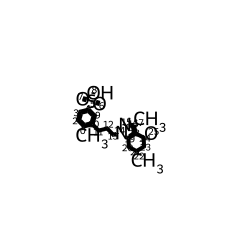 Cc1ccc(S(=O)(=O)O)cc1CCCn1nc(C)c2c1CC(C)CC2=O